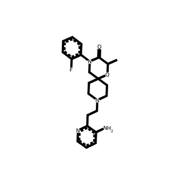 CC1OC2(CCN(CCc3ncccc3N)CC2)CN(c2ccccc2F)C1=O